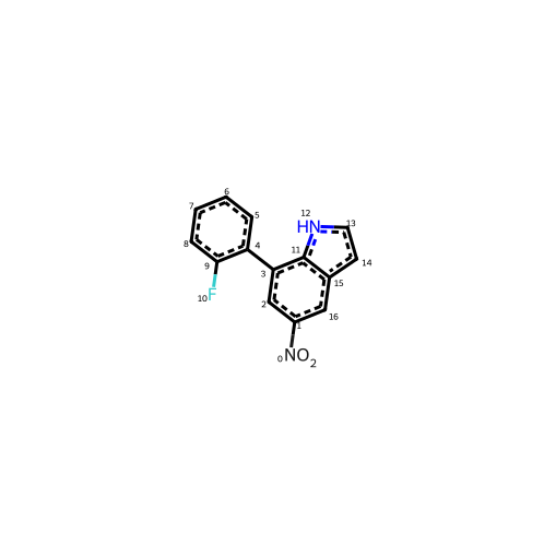 O=[N+]([O-])c1cc(-c2ccccc2F)c2[nH]ccc2c1